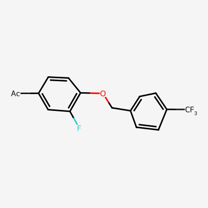 CC(=O)c1ccc(OCc2ccc(C(F)(F)F)cc2)c(F)c1